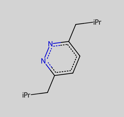 CC(C)Cc1ccc(CC(C)C)nn1